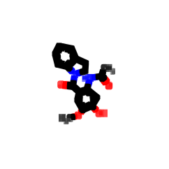 COc1cc(C(=O)N2CCc3ccccc32)c(NC(C)=O)cc1O